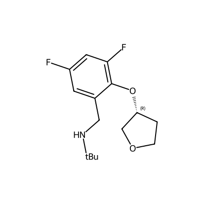 CC(C)(C)NCc1cc(F)cc(F)c1O[C@@H]1CCOC1